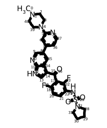 CN1CCN(c2cc(-c3cnc4[nH]cc(C(=O)c5c(F)ccc(NS(=O)(=O)N6CCCC6)c5F)c4c3)ccn2)CC1